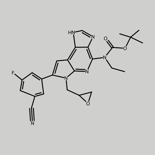 CCN(C(=O)OC(C)(C)C)c1nc2c(cc(-c3cc(F)cc(C#N)c3)n2CC2CO2)c2[nH]cnc12